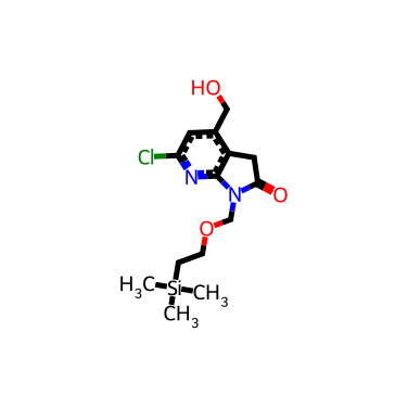 C[Si](C)(C)CCOCN1C(=O)Cc2c(CO)cc(Cl)nc21